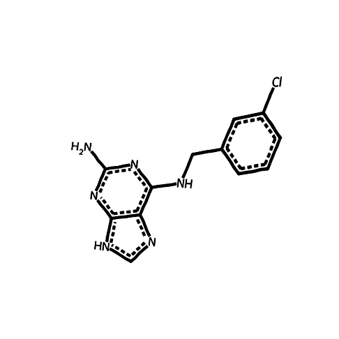 Nc1nc(NCc2cccc(Cl)c2)c2nc[nH]c2n1